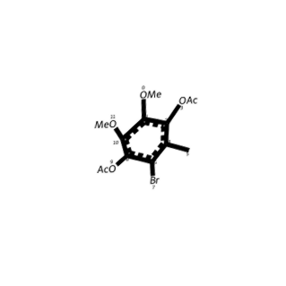 COc1c(OC(C)=O)c(C)c(Br)c(OC(C)=O)c1OC